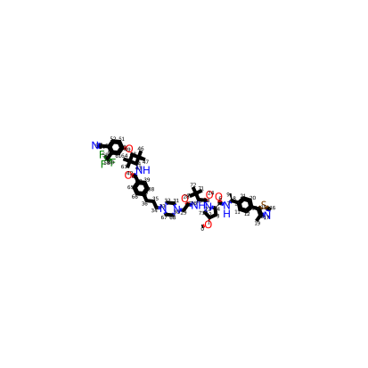 CO[C@@H]1C[C@@H](C(=O)N[C@@H](C)c2ccc(-c3scnc3C)cc2)N(C(=O)[C@@H](NC(=O)CN2CCN(CCCc3ccc(C(=O)N[C@H]4C(C)(C)[C@H](Oc5ccc(C#N)c(C(F)(F)F)c5)C4(C)C)cc3)CC2)C(C)(C)C)C1